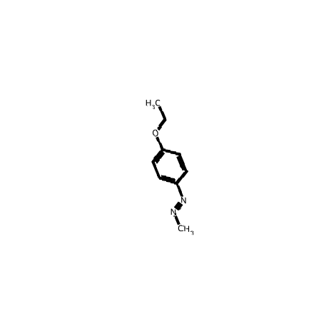 CCOc1ccc(N=NC)cc1